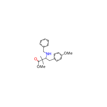 COC(=O)C(C)(C)C(Cc1ccc(OC)cc1)NCc1ccccc1